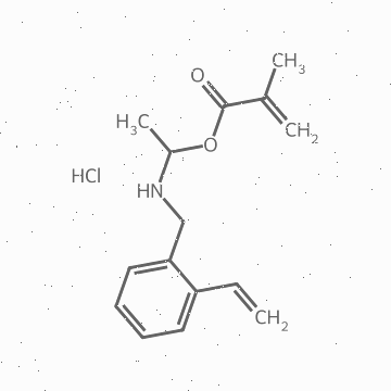 C=Cc1ccccc1CNC(C)OC(=O)C(=C)C.Cl